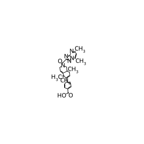 Cc1cc(C)n2nc(C(=O)N3CC=C4C(C)(C)C(c5ccc(C(=O)O)cc5)=CC[C@]4(C)C3)nc2n1